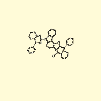 O=c1c2ccccc2n(-c2ccccc2)c2nc3c4c5ccccc5n(-c5nc(-c6ccccc6)c6ccccc6n5)c4ccc3n12